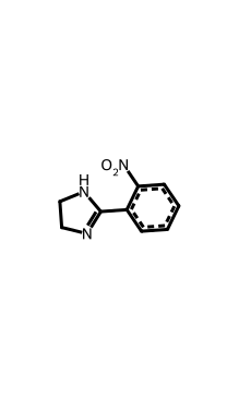 O=[N+]([O-])c1ccccc1C1=NCCN1